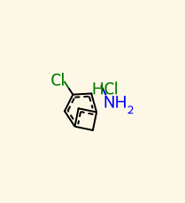 CN.Cl.Clc1cc2cc(c1)C2